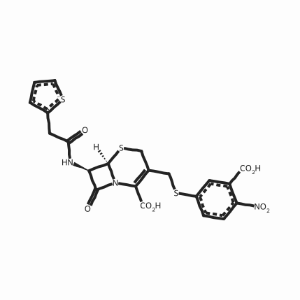 O=C(Cc1cccs1)N[C@@H]1C(=O)N2C(C(=O)O)=C(CSc3ccc([N+](=O)[O-])c(C(=O)O)c3)CS[C@H]12